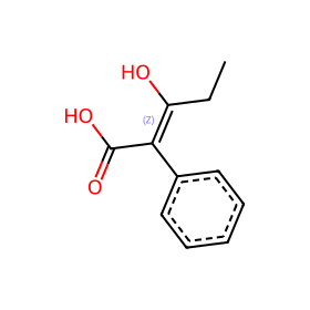 CC/C(O)=C(/C(=O)O)c1ccccc1